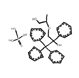 CC(CO)OCC(O)(c1ccccc1)C(c1ccccc1)(c1ccccc1)c1ccccc1.O=P(O)(O)O